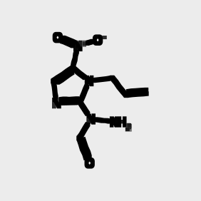 C=CCn1c([N+](=O)[O-])cnc1N(N)C=O